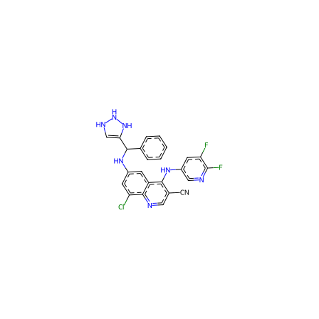 N#Cc1cnc2c(Cl)cc(NC(C3=CNNN3)c3ccccc3)cc2c1Nc1cnc(F)c(F)c1